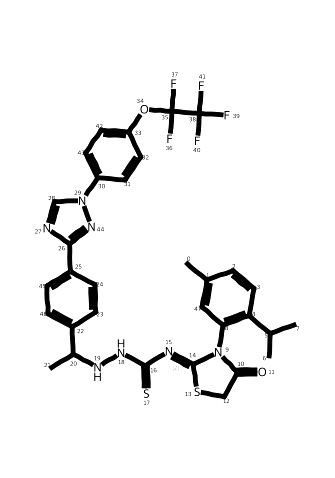 Cc1ccc(C(C)C)c(N2C(=O)CS/C2=N\C(=S)NNC(C)c2ccc(-c3ncn(-c4ccc(OC(F)(F)C(F)(F)F)cc4)n3)cc2)c1